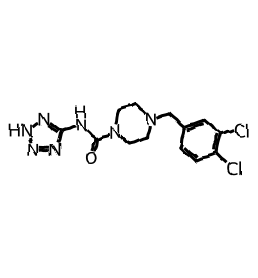 O=C(Nc1nn[nH]n1)N1CCN(Cc2ccc(Cl)c(Cl)c2)CC1